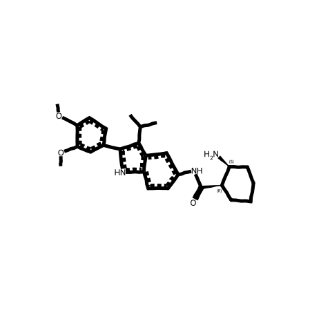 COc1ccc(-c2[nH]c3ccc(NC(=O)[C@@H]4CCCC[C@@H]4N)cc3c2C(C)C)cc1OC